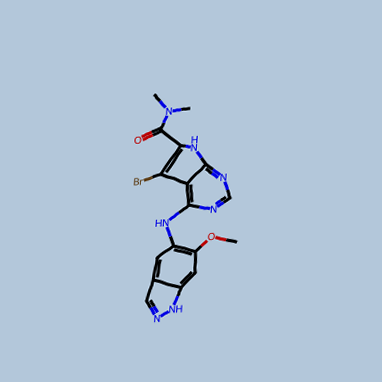 COc1cc2[nH]ncc2cc1Nc1ncnc2[nH]c(C(=O)N(C)C)c(Br)c12